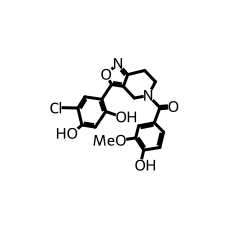 COc1cc(C(=O)N2CCc3noc(-c4cc(Cl)c(O)cc4O)c3C2)ccc1O